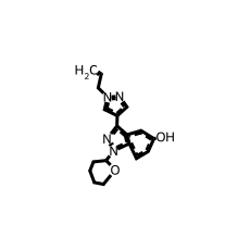 C=CCn1cc(-c2nn(C3CCCCO3)c3ccc(O)cc23)cn1